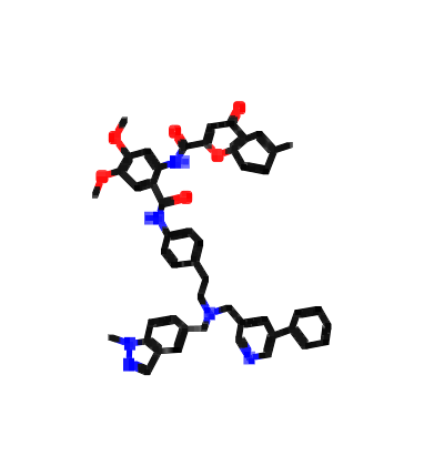 COc1cc(NC(=O)c2cc(=O)c3cc(C)ccc3o2)c(C(=O)Nc2ccc(CCN(Cc3cncc(-c4ccccc4)c3)Cc3ccc4c(cnn4C)c3)cc2)cc1OC